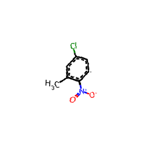 Cc1cc(Cl)c[c]c1[N+](=O)[O-]